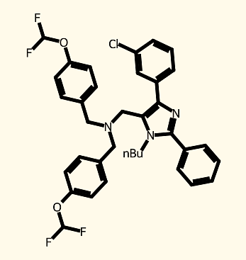 CCCCn1c(-c2ccccc2)nc(-c2cccc(Cl)c2)c1CN(Cc1ccc(OC(F)F)cc1)Cc1ccc(OC(F)F)cc1